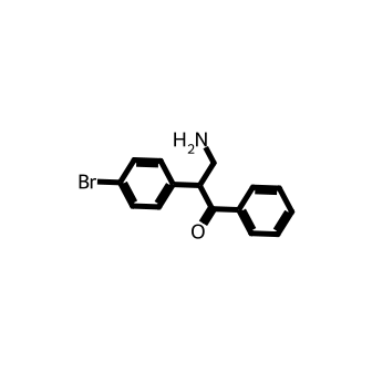 NCC(C(=O)c1ccccc1)c1ccc(Br)cc1